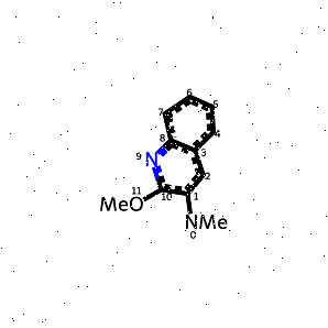 CNc1cc2ccccc2nc1OC